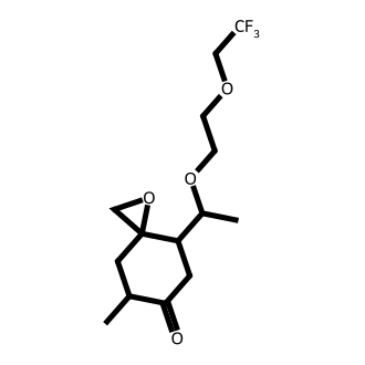 CC1CC2(CO2)C(C(C)OCCOCC(F)(F)F)CC1=O